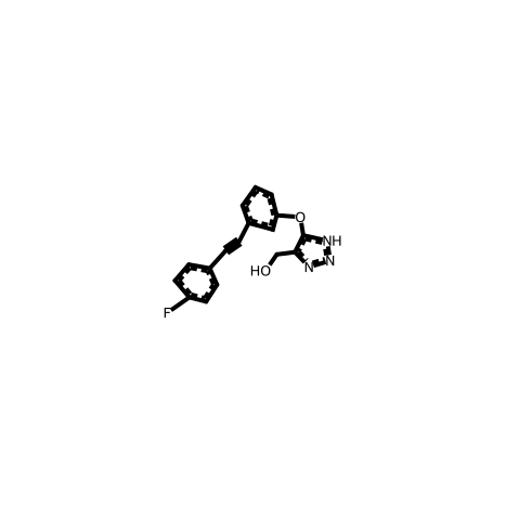 OCc1nn[nH]c1Oc1cccc(C#Cc2ccc(F)cc2)c1